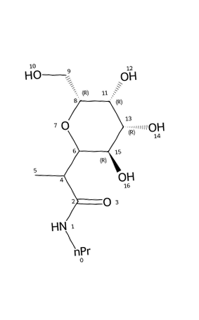 CCCNC(=O)C(C)C1O[C@H](CO)[C@H](O)[C@H](O)[C@H]1O